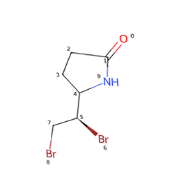 O=C1CCC([C@@H](Br)CBr)N1